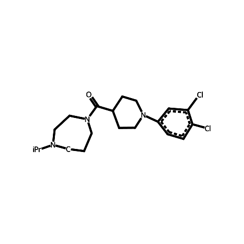 CC(C)N1CCCN(C(=O)C2CCN(c3ccc(Cl)c(Cl)c3)CC2)CC1